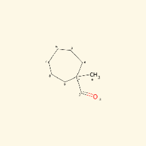 CC1([C]=O)CCCCCC1